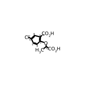 CC(Oc1ccc(Cl)cc1C(=O)O)C(=O)O